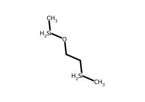 C[SiH2]CCO[SiH2]C